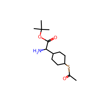 CC(=O)SC1CCC(C(N)C(=O)OC(C)(C)C)CC1